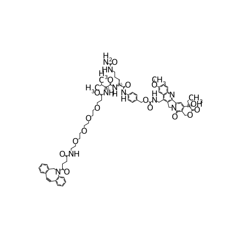 CC[C@@]1(O)C(=O)OCc2c1cc1n(c2=O)Cc2c-1nc1ccc(OC)cc1c2CNC(=O)OCc1ccc(NC(=O)[C@H](CCCNC(N)=O)NC(=O)[C@@H](NC(=O)CCOCCOCCOCCOCCNC(=O)CCC(=O)N2Cc3ccccc3C#Cc3ccccc32)C(C)C)cc1